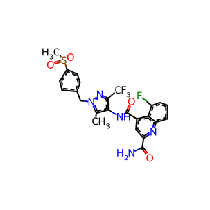 Cc1c(NC(=O)c2cc(C(N)=O)nc3cccc(F)c23)c(C(F)(F)F)nn1Cc1ccc(S(C)(=O)=O)cc1